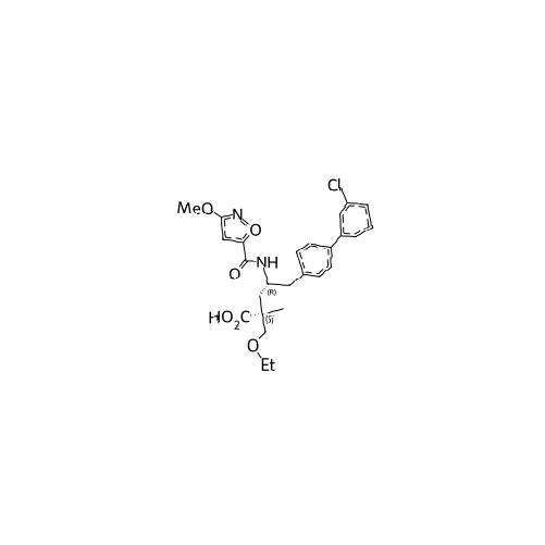 CCOC[C@](C)(C[C@@H](Cc1ccc(-c2cccc(Cl)c2)cc1)NC(=O)c1cc(OC)no1)C(=O)O